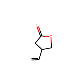 C=CC1COC(=O)C1